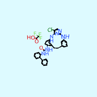 O=C(Nc1ccc2cc1CCc1cccc(c1)Nc1ncc(Cl)c(n1)N2)Nc1ccccc1-c1ccccc1.O=C(O)C(F)(F)F